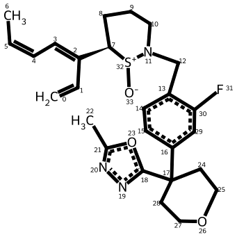 C=C/C(=C\C=C/C)[C@H]1CCCN(Cc2ccc(C3(c4nnc(C)o4)CCOCC3)cc2F)[S+]1[O-]